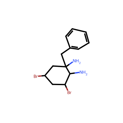 NC1C(Br)CC(Br)CC1(N)Cc1ccccc1